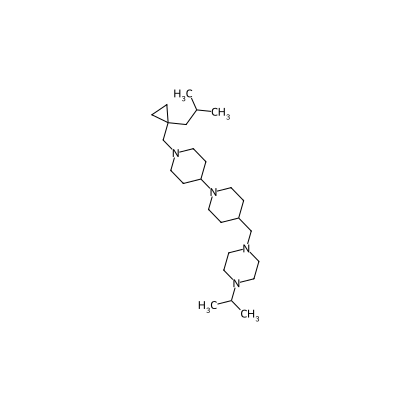 CC(C)CC1(CN2CCC(N3CCC(CN4CCN(C(C)C)CC4)CC3)CC2)CC1